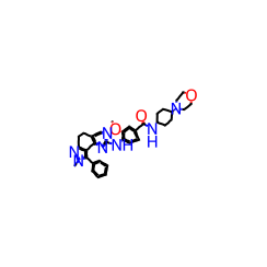 COc1cc(C(=O)N[C@H]2CC[C@H](N3CCOCC3)CC2)ccc1Nc1ncc2c(n1)-c1c(nn(C)c1-c1ccccc1)CC2